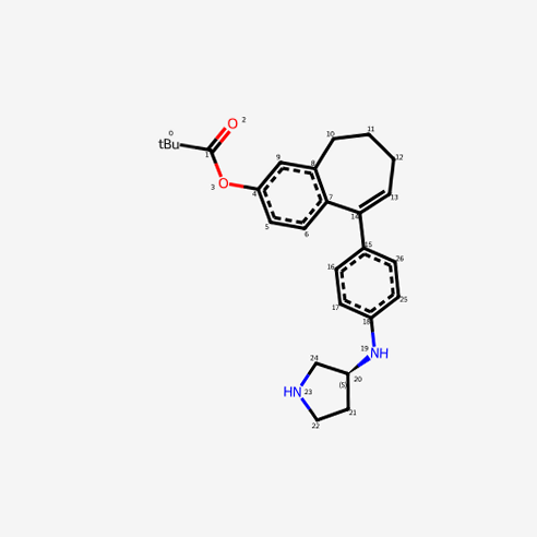 CC(C)(C)C(=O)Oc1ccc2c(c1)CCCC=C2c1ccc(N[C@H]2CCNC2)cc1